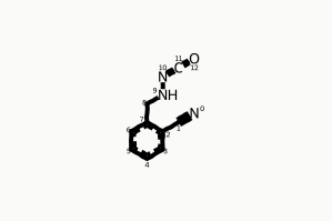 N#Cc1ccccc1CNN=C=O